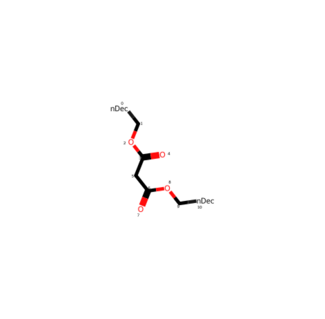 CCCCCCCCCCCOC(=O)CC(=O)OCCCCCCCCCCC